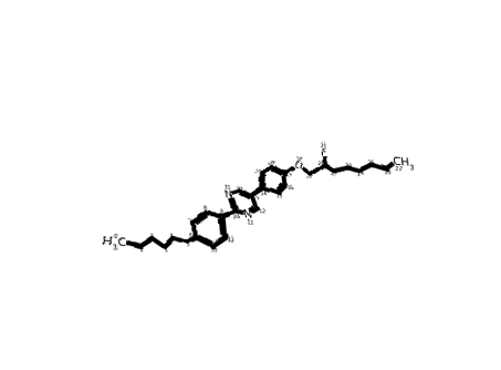 CCCCCCc1ccc(-c2ncc(-c3ccc(OCC(F)CCCCCC)cc3)cn2)cc1